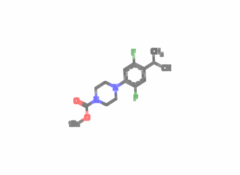 CC(C#N)c1cc(F)c(N2CCN(C(=O)OC(C)(C)C)CC2)cc1F